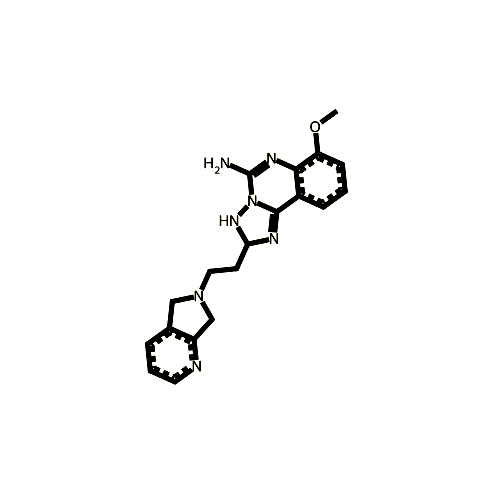 COc1cccc2c1N=C(N)N1NC(CCN3Cc4cccnc4C3)N=C21